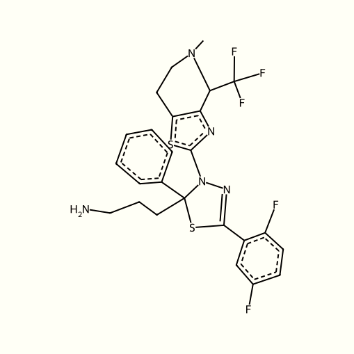 CN1CCc2sc(N3N=C(c4cc(F)ccc4F)SC3(CCCN)c3ccccc3)nc2C1C(F)(F)F